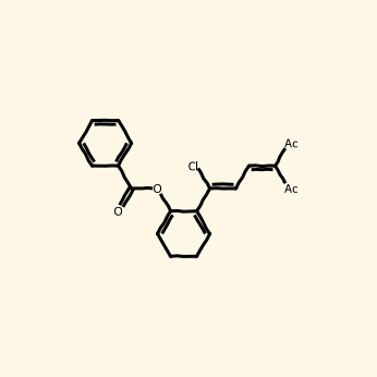 CC(=O)C(=C/C=C(\Cl)C1=CCCC=C1OC(=O)c1ccccc1)C(C)=O